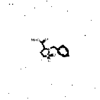 COC(=O)C1CCS(=O)(=O)N1Cc1ccccc1